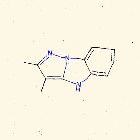 Cc1nn2c([nH]c3ccccc32)c1C